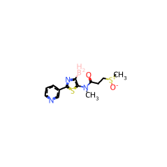 Bc1nc(-c2cccnc2)sc1N(C)C(=O)CC[S+](C)[O-]